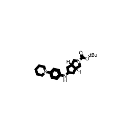 CC(C)(C)OC(=O)N1C[C@H]2CC(Nc3ccc(N4CCCCC4)cc3)C[C@H]2C1